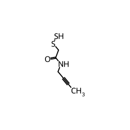 CC#CCNC(=O)CSS